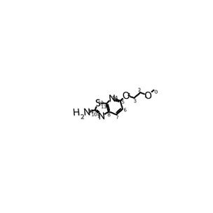 COCCOc1ccc2nc(N)sc2n1